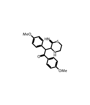 COc1ccc(C(=O)C(c2ccc(OC)cc2)C2NCCSC2=N)cc1